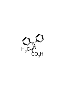 CC(=NN(c1ccccc1)c1ccccc1)C(=O)O